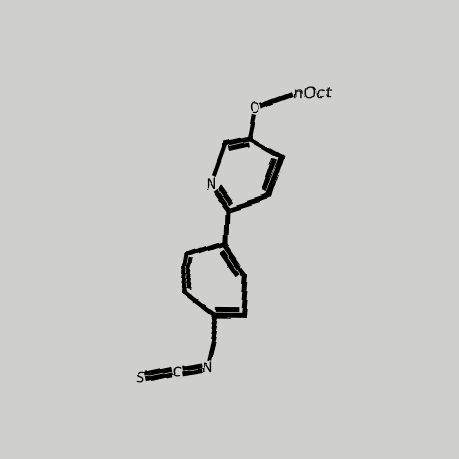 CCCCCCCCOc1ccc(-c2ccc(N=C=S)cc2)nc1